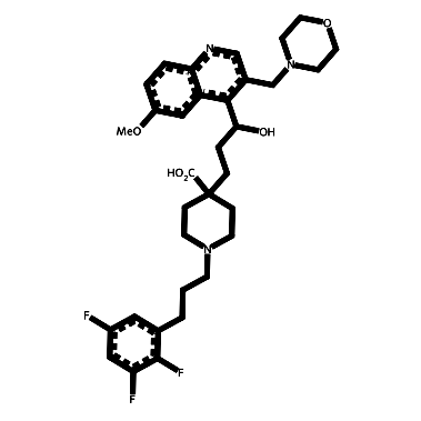 COc1ccc2ncc(CN3CCOCC3)c(C(O)CCC3(C(=O)O)CCN(CCCc4cc(F)cc(F)c4F)CC3)c2c1